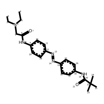 CCN(CC)CC(=O)Nc1ccc(/N=N/c2ccc(NC(=O)C(C)(C)C)cc2)cc1